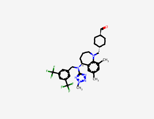 Cc1cc(C)c2c(c1)[C@@H](N(Cc1cc(C(F)(F)F)cc(C(F)(F)F)c1)c1nnn(C)n1)CCCN2C[C@H]1CC[C@H](C=O)CC1